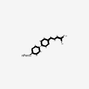 CCCCC[C@H]1CC[C@H](C2CCC(CCC=C(F)F)CC2)CC1